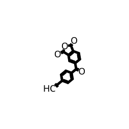 C#Cc1ccc(C(=O)c2ccc3c(c2)C(=O)OC3=O)cc1